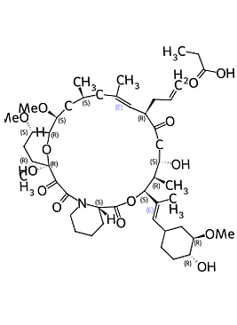 C=CC[C@@H]1/C=C(\C)C[C@H](C)C[C@H](OC)[C@H]2O[C@@](O)(C(=O)C(=O)N3CCCC[C@H]3C(=O)O[C@H](/C(C)=C/C3CC[C@@H](O)[C@H](OC)C3)[C@H](C)[C@@H](O)CC1=O)[C@H](C)C[C@@H]2OC.CCC(=O)O